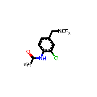 CCCC(=O)Nc1ccc(CNC(F)(F)F)cc1Cl